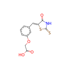 O=C(O)COc1cccc(/C=C2\SC(=S)NC2=O)c1